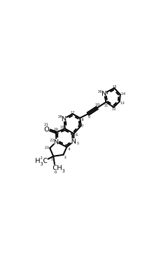 CC1(C)Cc2nc3cc(C#Cc4ccccn4)cnc3c(=O)n2C1